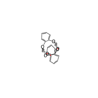 c1ccc2c(c1)OB1Oc3ccccc3OB(O2)Oc2ccccc2O1